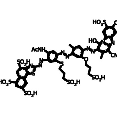 CC(=O)Nc1cc(N=Nc2cc(OCCCS(=O)(=O)O)c(N=Nc3c(C)c(C#N)c4nc5cc(Cl)c(S(=O)(=O)O)cc5n4c3O)cc2C)c(SCCCS(=O)(=O)O)cc1N=Nc1nc2c(S(=O)(=O)O)cc3c(S(=O)(=O)O)cc(S(=O)(=O)O)cc3c2s1